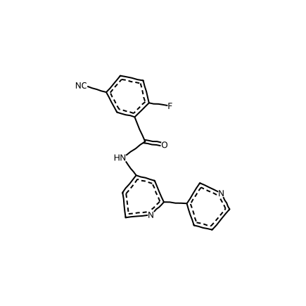 N#Cc1ccc(F)c(C(=O)Nc2ccnc(-c3cccnc3)c2)c1